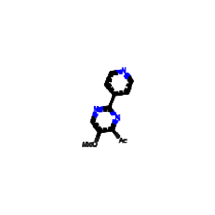 COc1cnc(-c2ccncc2)nc1C(C)=O